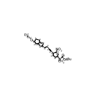 CCOCOc1ccc2nc(/C=C/C#Cc3ccc(N(C)C(=O)OC(C)(C)C)nc3[N+](=O)[O-])sc2c1